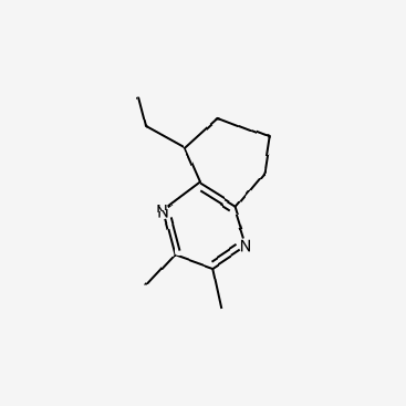 CCC1CCCc2nc(C)c(C)nc21